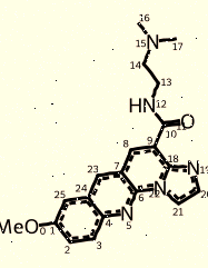 COc1ccc2nc3c(cc(C(=O)NCCN(C)C)c4nccn43)cc2c1